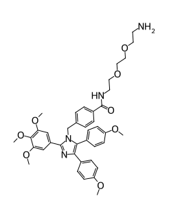 COc1ccc(-c2nc(-c3cc(OC)c(OC)c(OC)c3)n(Cc3ccc(C(=O)NCCOCCOCCN)cc3)c2-c2ccc(OC)cc2)cc1